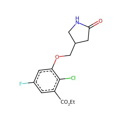 CCOC(=O)c1cc(F)cc(OCC2CNC(=O)C2)c1Cl